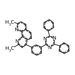 Cc1ccc2ccc3c(-c4cccc(-c5nc(-c6ccccc6)nc(-c6ccccc6)n5)c4)cc(C)nc3c2n1